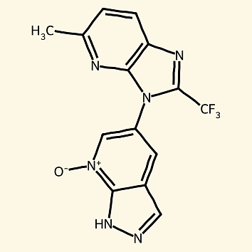 Cc1ccc2nc(C(F)(F)F)n(-c3cc4cn[nH]c4[n+]([O-])c3)c2n1